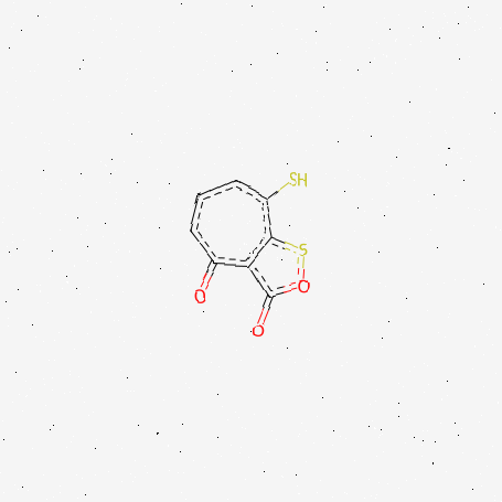 O=c1cccc(S)c2soc(=O)c12